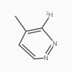 [2H]c1nnccc1C